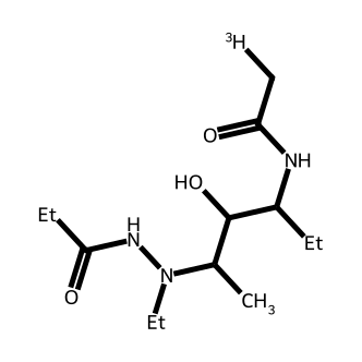 [3H]CC(=O)NC(CC)C(O)C(C)N(CC)NC(=O)CC